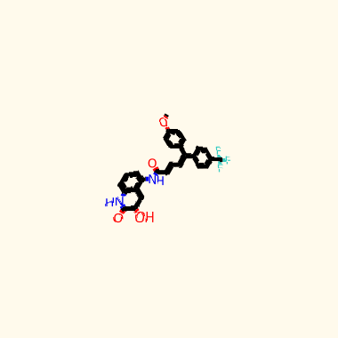 COc1ccc(/C(=C\C=C\C(=O)Nc2cccc3c2CC(O)C(=O)N3)c2ccc(C(F)(F)F)cc2)cc1